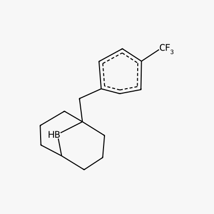 FC(F)(F)c1ccc(CC23BC(CCC2)CCC3)cc1